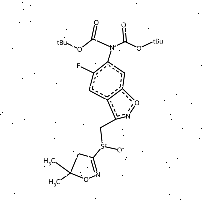 CC(C)(C)OC(=O)N(C(=O)OC(C)(C)C)c1cc2onc(C[S+]([O-])C3=NOC(C)(C)C3)c2cc1F